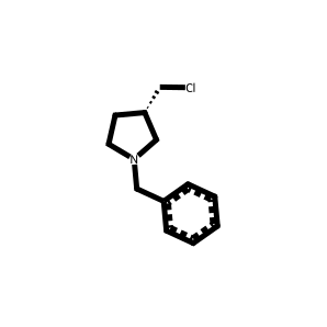 ClC[C@H]1CCN(Cc2ccccc2)C1